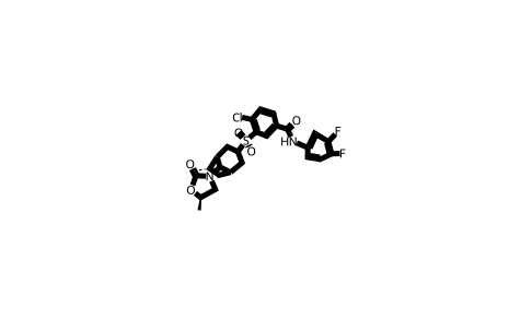 C[C@@H]1CN(C2C3CC(S(=O)(=O)c4cc(C(=O)Nc5ccc(F)c(F)c5)ccc4Cl)CC2[C@@H](C)C3)C(=O)O1